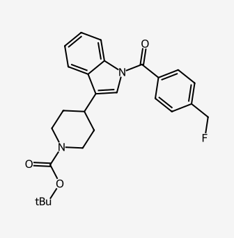 CC(C)(C)OC(=O)N1CCC(c2cn(C(=O)c3ccc(CF)cc3)c3ccccc23)CC1